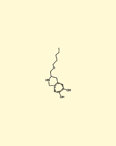 CCCCCOCC1Cc2cc(O)c(O)cc2CN1